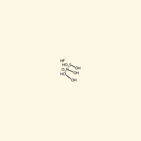 F.O=S(=O)(O)O.O=[N+]([O-])O.OO